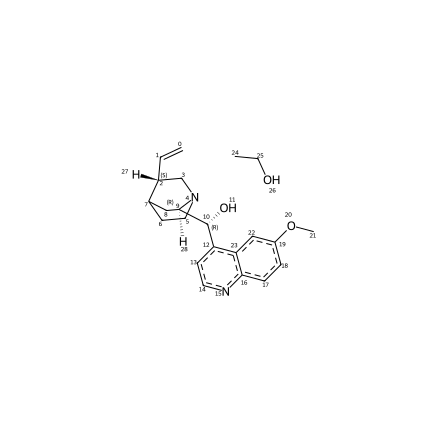 C=C[C@@H]1CN2CCC1C[C@@H]2[C@H](O)c1ccnc2ccc(OC)cc12.CCO